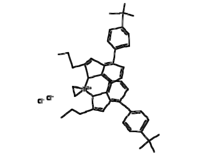 CCCC1=Cc2c(-c3ccc(C(C)(C)C)cc3)cccc2[CH]1[Ti+2]1([CH]2C(CCC)=Cc3c(-c4ccc(C(C)(C)C)cc4)cccc32)[CH2][CH2]1.[Cl-].[Cl-]